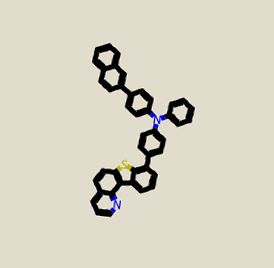 c1ccc(N(c2ccc(-c3ccc4ccccc4c3)cc2)c2ccc(-c3cccc4c3sc3ccc5cccnc5c34)cc2)cc1